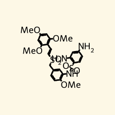 COc1cc(OC)c(/C=C/[S+]([O-])Cc2ccc(OC)c(NS(=O)(=O)c3ccc(N)cc3N)c2)c(OC)c1